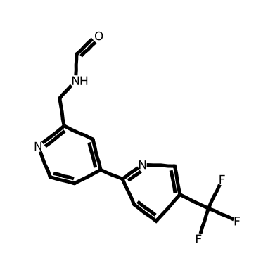 O=CNCc1cc(-c2ccc(C(F)(F)F)cn2)ccn1